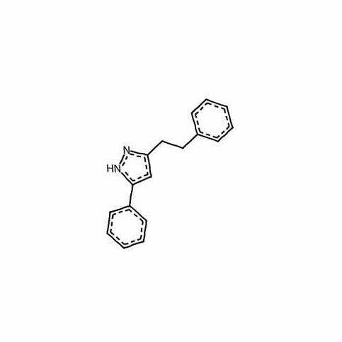 c1ccc(CCc2cc(-c3ccccc3)[nH]n2)cc1